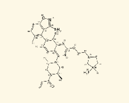 C=CC(=O)N1C[C@H](C)N(c2nc(OCCN3CCC(C)(P)C3)nc3c(F)c(-c4c(C)ccc5onc(N)c45)c(C)cc23)C[C@H]1C